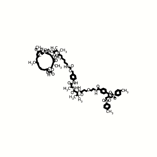 COc1cc2cc(c1Cl)N(C)C(=O)C[C@@H](OC(=O)[C@H](C)N(C)C(=O)CCCCCNC(=O)OCc1ccc(NC(=O)[C@H](C)NC(=O)[C@@H](NC(=O)CCOCCNC(=O)c3ccc(C(=O)C(CS(=O)(=O)c4ccc(C)cc4)CS(=O)(=O)c4ccc(C)cc4)cc3)C(C)C)cc1)[C@@]1(C)OC1[C@H](C)C1CC(O)(C/C=C\C=C(\C)C2)NC(=O)O1